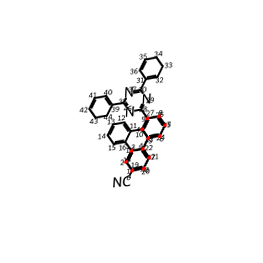 N#Cc1ccc(-c2ccccc2-c2ccccc2-c2ccccc2-c2cccc(-c3nc(C4=CCCC=C4)nc(C4=CC=CCC4)n3)c2)cc1